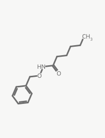 CCCCCC(=O)NOCc1ccccc1